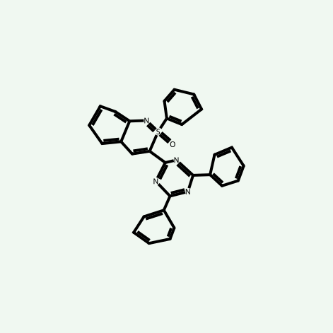 O=S1(c2ccccc2)=Nc2ccccc2C=C1c1nc(-c2ccccc2)nc(-c2ccccc2)n1